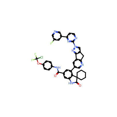 O=C(Nc1ccc(OC(F)(F)Cl)cc1)c1cc2c(c(-c3cnc4c(c3)-c3nn(-c5nccc(-c6cncc(F)c6)n5)cc3C4)c1)C1(CCCCC1)C(=O)N2